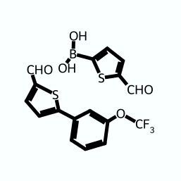 O=Cc1ccc(-c2cccc(OC(F)(F)F)c2)s1.O=Cc1ccc(B(O)O)s1